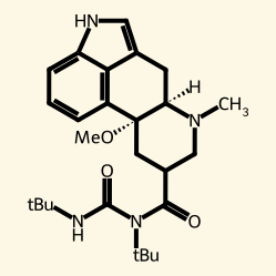 CO[C@@]12CC(C(=O)N(C(=O)NC(C)(C)C)C(C)(C)C)CN(C)[C@@H]1Cc1c[nH]c3cccc2c13